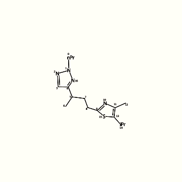 CCCn1ncc(C(C)CCc2nc(C)c(C(C)C)s2)n1